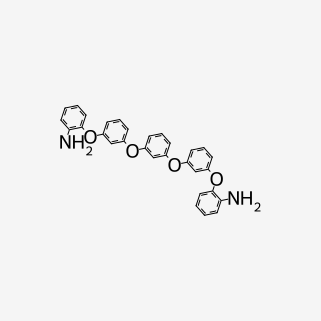 Nc1ccccc1Oc1cccc(Oc2cccc(Oc3cccc(Oc4ccccc4N)c3)c2)c1